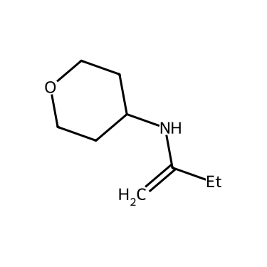 C=C(CC)NC1CCOCC1